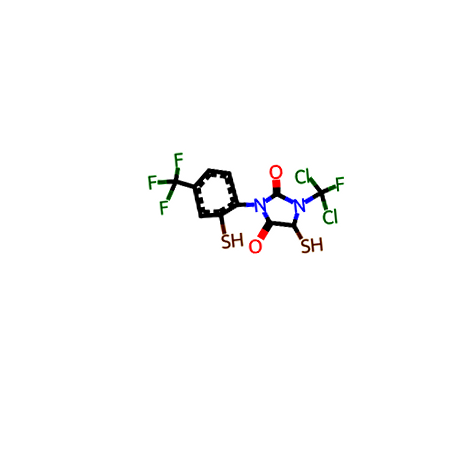 O=C1C(S)N(C(F)(Cl)Cl)C(=O)N1c1ccc(C(F)(F)F)cc1S